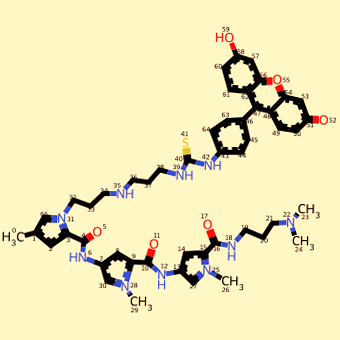 Cc1cc(C(=O)Nc2cc(C(=O)Nc3cc(C(=O)NCCCN(C)C)n(C)c3)n(C)c2)n(CCCNCCCNC(=S)Nc2ccc(-c3c4ccc(=O)cc-4oc4cc(O)ccc34)cc2)c1